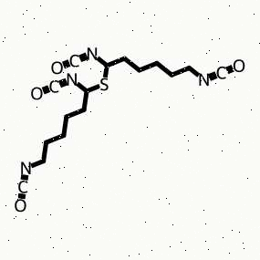 O=C=NCCCCCC(N=C=O)SC(CCCCCN=C=O)N=C=O